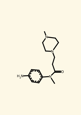 CN1CCN(CCC(=O)N(C)c2ccc(N)cc2)CC1